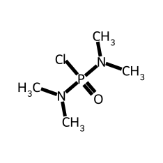 CN(C)P(=O)(Cl)N(C)C